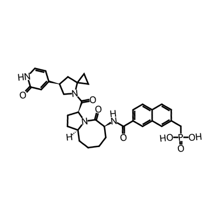 O=C(N[C@H]1CCCC[C@H]2CC[C@@H](C(=O)N3C[C@@H](c4cc[nH]c(=O)c4)CC34CC4)N2C1=O)c1ccc2ccc(CP(=O)(O)O)cc2c1